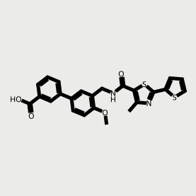 COc1ccc(-c2cccc(C(=O)O)c2)cc1CNC(=O)c1sc(-c2cccs2)nc1C